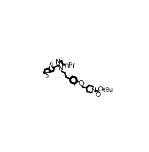 CCCc1cnc(-c2cc3sccc3n2C)n1CCCc1ccc(OCC2CCN(C(=O)OC(C)(C)C)CC2)cc1